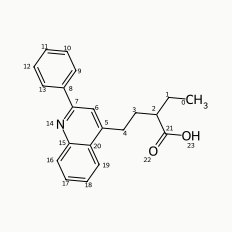 CCC(CCc1cc(-c2ccccc2)nc2ccccc12)C(=O)O